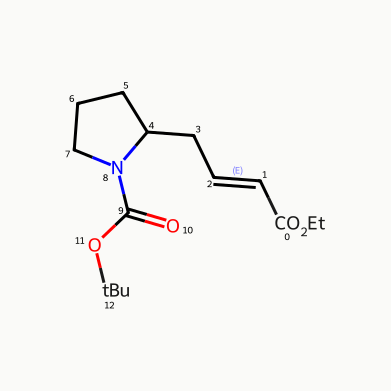 CCOC(=O)/C=C/CC1CCCN1C(=O)OC(C)(C)C